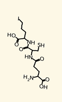 NC(CCC(=O)NC(CS)C(=O)NC(CCCI)C(=O)O)C(=O)O